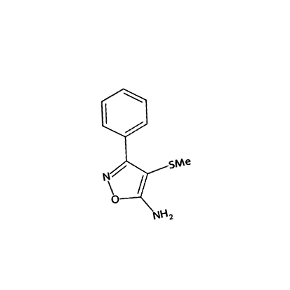 CSc1c(-c2ccccc2)noc1N